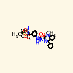 CN1C(=O)[C@H](NC(=O)Nc2cccc(C(=O)NS(=O)(=O)C(C)(C)C)c2)N=C(C2CCCCC2)c2ccccc21